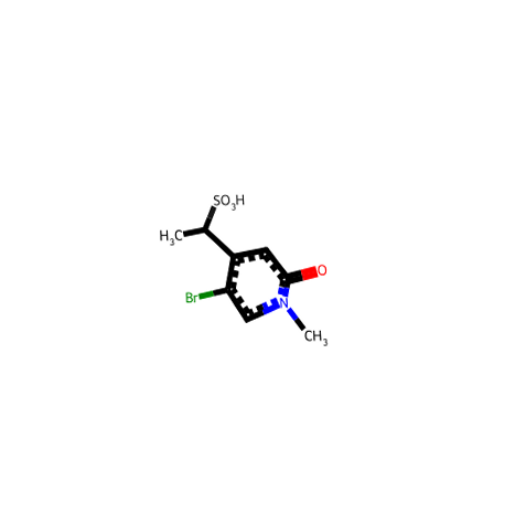 CC(c1cc(=O)n(C)cc1Br)S(=O)(=O)O